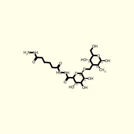 C[C@H]1C(CO[C@@H]2OC(C(=O)NNC(=O)CCCCC(=O)NN)[C@@H](O)C(O)[C@@H]2O)[C@H](O)C(CO)O[C@H]1O